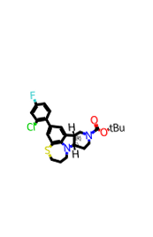 CC(C)(C)OC(=O)N1CC[C@H]2[C@@H](C1)c1cc(-c3ccc(F)cc3Cl)cc3c1N2CCCS3